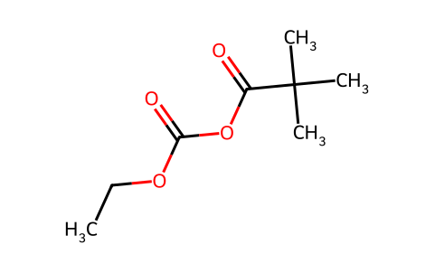 CCOC(=O)OC(=O)C(C)(C)C